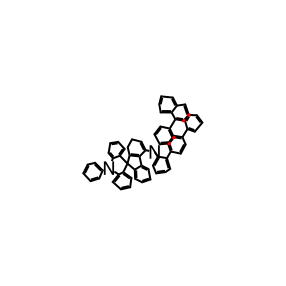 C1=C(N(c2ccc(-c3cccc4ccccc34)cc2)c2ccccc2-c2ccc(-c3ccccc3)cc2)C2=C(CC1)C1(c3ccccc32)c2ccccc2N(c2ccccc2)c2ccccc21